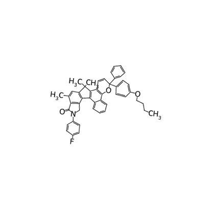 CCCCOc1ccc(C2(c3ccccc3)C=Cc3c4c(c5ccccc5c3O2)-c2c(cc(C)c3c2CN(c2ccc(F)cc2)C3=O)C4(C)C)cc1